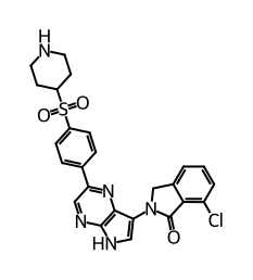 O=C1c2c(Cl)cccc2CN1c1c[nH]c2ncc(-c3ccc(S(=O)(=O)C4CCNCC4)cc3)nc12